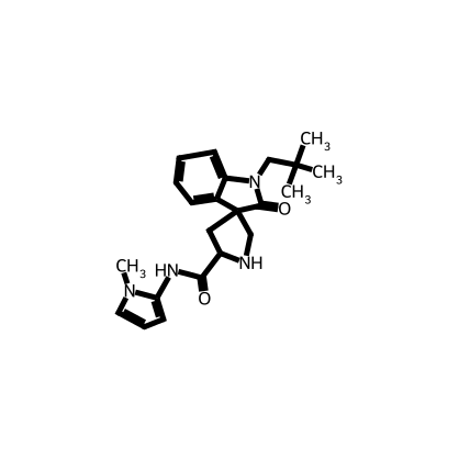 Cn1cccc1NC(=O)C1CC2(CN1)C(=O)N(CC(C)(C)C)c1ccccc12